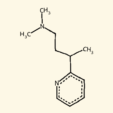 CC(CCN(C)C)c1ccccn1